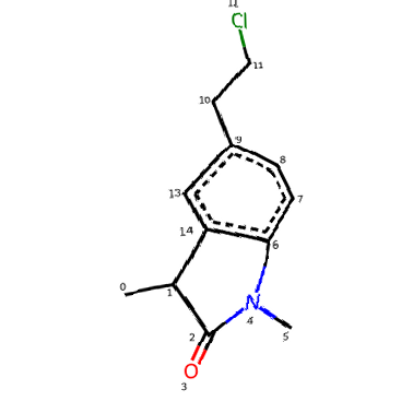 CC1C(=O)N(C)c2ccc(CCCl)cc21